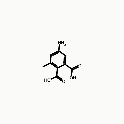 Cc1cc(N)cc(C(=O)O)c1C(=O)O